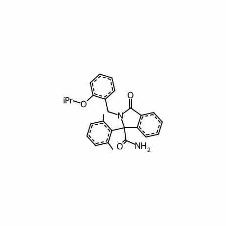 Cc1cccc(C)c1C1(C(N)=O)c2ccccc2C(=O)N1Cc1ccccc1OC(C)C